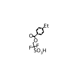 CCc1ccc(C(=O)OCC(F)(F)S(=O)(=O)O)cc1